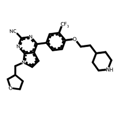 N#Cc1nc(-c2ccc(OCCC3CCNCC3)c(C(F)(F)F)c2)c2ccn(CC3CCOC3)c2n1